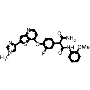 COc1ccccc1NC(=O)C(C(N)=O)c1ccc(Oc2ccnc3cc(-c4cn(C)cn4)sc23)c(F)c1